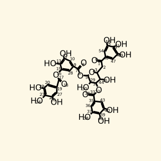 O=C(CC1OC(OC(=O)c2cc(O)c(O)c(OC(=O)c3cc(O)c(O)c(O)c3)c2)C(O)C(OC(=O)c2cc(O)c(O)c(O)c2)C1O)c1cc(O)c(O)c(O)c1